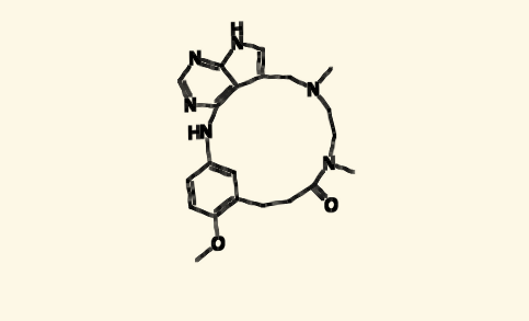 COc1ccc2cc1CCC(=O)N(C)CCN(C)Cc1c[nH]c3ncnc(c13)N2